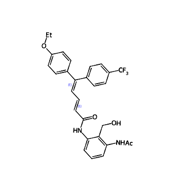 CCOc1ccc(/C(=C/C=C/C(=O)Nc2cccc(NC(C)=O)c2CO)c2ccc(C(F)(F)F)cc2)cc1